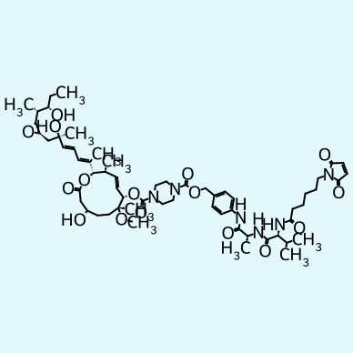 CC[C@H](O)[C@@H](C)[C@H]1O[C@@H]1C[C@@](C)(O)/C=C/C=C(\C)[C@H]1OC(=O)C[C@H](O)CC[C@@](C)(OC)[C@@H](OC(=O)N2CCN(C(=O)OCc3ccc(NC(=O)[C@H](C)NC(=O)[C@@H](NC(=O)CCCCCN4C(=O)C=CC4=O)C(C)C)cc3)CC2)/C=C/[C@@H]1C